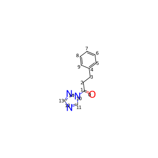 O=C(CCc1ccccc1)n1cncn1